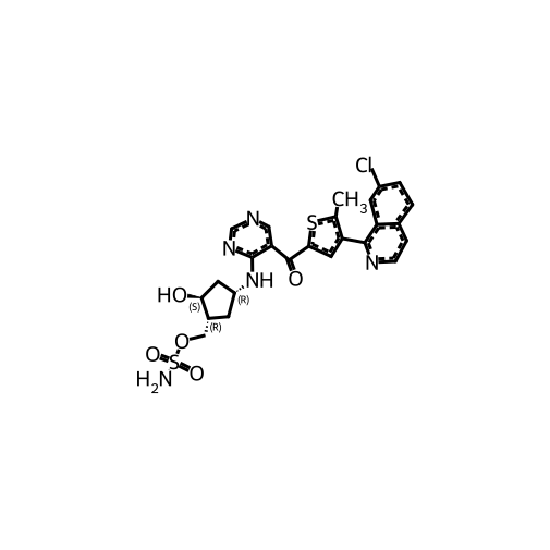 Cc1sc(C(=O)c2cncnc2N[C@@H]2C[C@H](COS(N)(=O)=O)[C@@H](O)C2)cc1-c1nccc2ccc(Cl)cc12